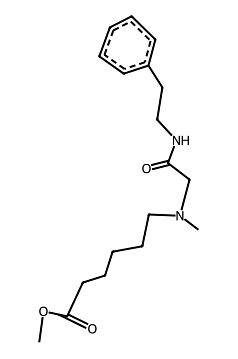 COC(=O)CCCCCN(C)CC(=O)NCCc1ccccc1